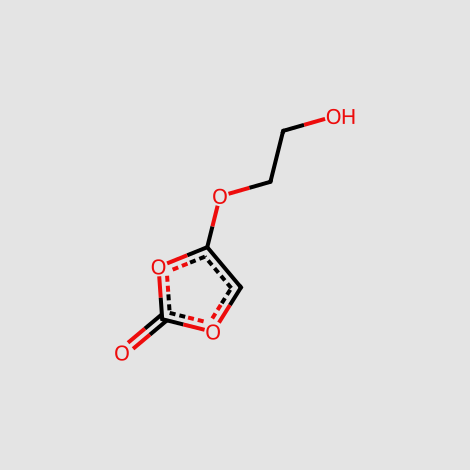 O=c1occ(OCCO)o1